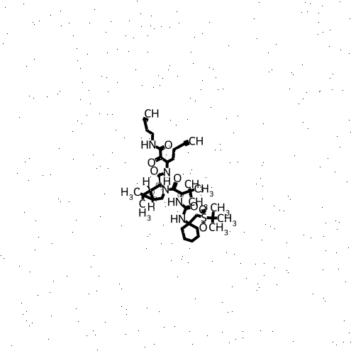 C#CCCNC(=O)C(=O)C(CCC#C)NC(=O)[C@@H]1[C@@H]2[C@H](CN1C(=O)[C@@H](NC(=O)NC1(CS(=O)(=O)C(C)(C)C)CCCCC1)C(C)(C)C)C2(C)C